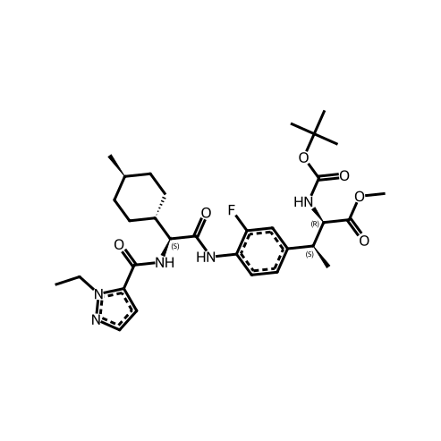 CCn1nccc1C(=O)N[C@H](C(=O)Nc1ccc([C@H](C)[C@@H](NC(=O)OC(C)(C)C)C(=O)OC)cc1F)[C@H]1CC[C@H](C)CC1